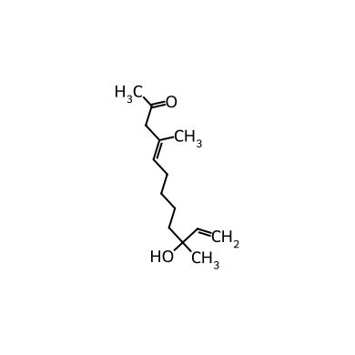 C=CC(C)(O)CCCC/C=C(\C)CC(C)=O